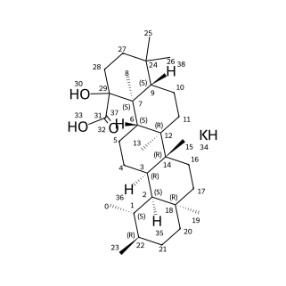 C[C@@H]1[C@H]2[C@H]3CC[C@@H]4[C@]5(C)[C@@H](CC[C@@]4(C)[C@]3(C)CC[C@@]2(C)CC[C@H]1C)C(C)(C)CCC5(O)C(=O)O.[KH]